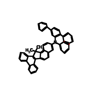 CC1(C)c2c(ccc3cc(N(c4ccccc4)c4cc(-c5ccccc5)ccc4-c4ccccc4)ccc23)-c2c1c1ccccc1c1ccccc21